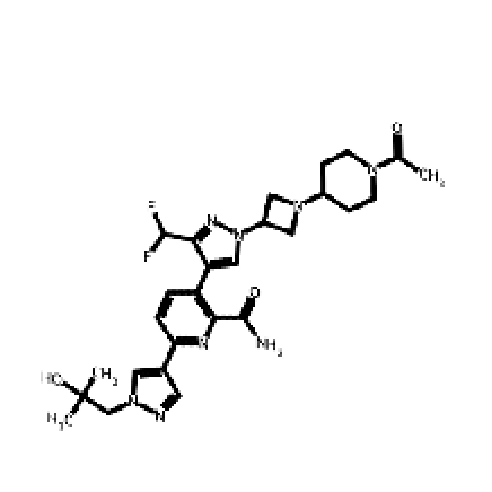 CC(=O)N1CCC(N2CC(n3cc(-c4ccc(-c5cnn(CC(C)(C)O)c5)nc4C(N)=O)c(C(F)F)n3)C2)CC1